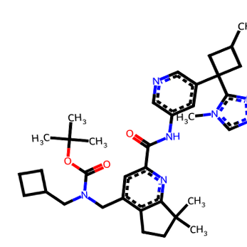 CC1CC(c2cncc(NC(=O)c3cc(CN(CC4CCC4)C(=O)OC(C)(C)C)c4c(n3)C(C)(C)CC4)c2)(c2nncn2C)C1